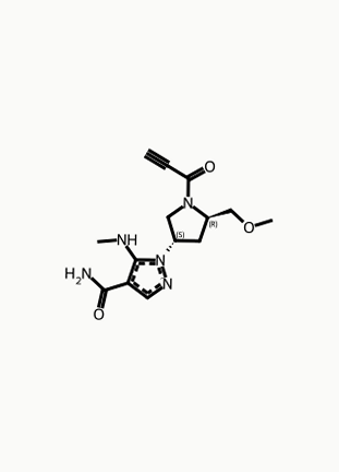 C#CC(=O)N1C[C@@H](n2ncc(C(N)=O)c2NC)C[C@@H]1COC